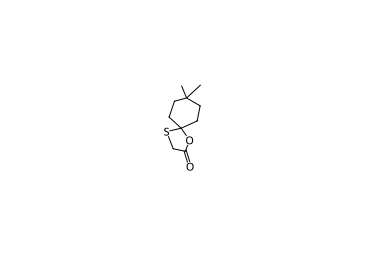 CC1(C)CCC2(CC1)OC(=O)CS2